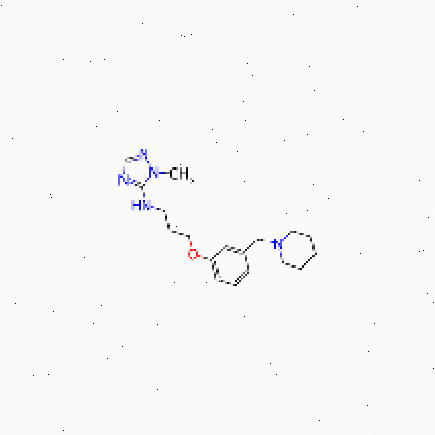 Cn1ncnc1NCCCOc1cccc(CN2CCCCC2)c1